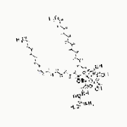 CCCCCCCC/C=C\CCCCCCCC(=O)N(CCCCCCCCCCCCCC)[C@@]1(NC(=O)CNC(=O)[C@H](C)N)C[C@@H](O)[C@H](O)[C@@H](CO)O1